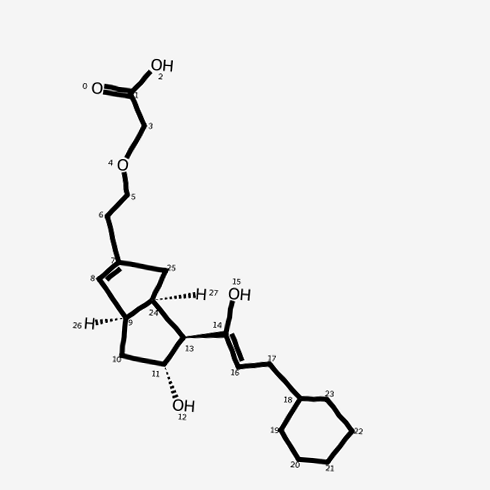 O=C(O)COCCC1=C[C@@H]2C[C@@H](O)[C@H](C(O)=CCC3CCCCC3)[C@@H]2C1